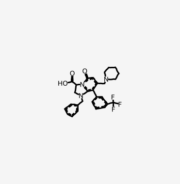 O=C(O)C1CN(Cc2ccccc2)c2c(-c3cccc(C(F)(F)F)c3)c(CN3CCCCC3)cc(=O)n21